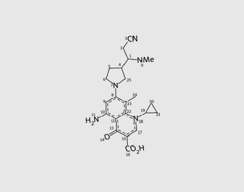 CNC(CC#N)C1CCN(c2cc(N)c3c(=O)c(C(=O)O)cn(C4CC4)c3c2C)C1